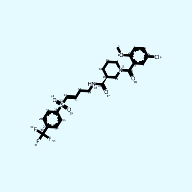 COc1ccc(Cl)cc1C(=O)N1CCC[C@H](C(=O)NCCC=CS(=O)(=O)c2ccc(C(F)(F)F)cc2)C1